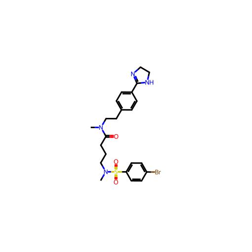 CN(CCc1ccc(C2=NCCN2)cc1)C(=O)CCCN(C)S(=O)(=O)c1ccc(Br)cc1